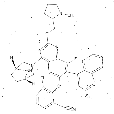 CN1CCCC1COc1nc(N2C[C@H]3CC[C@@H](C2)N3)c2cc(Oc3c(Cl)cccc3C#N)c(-c3cc(O)cc4ccccc34)c(F)c2n1